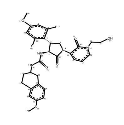 COc1cc(F)c([C@@H]2CN(c3cccn(CCO)c3=O)C(=O)[C@H]2NC(=O)NC2CCc3cc(OC)ccc3C2)c(F)c1